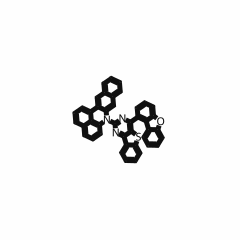 c1ccc2cc3c(cc2c1)-c1cccc2cccc(c12)N3c1nc(-c2cccc3oc4ccccc4c23)c2sc3ccccc3c2n1